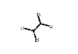 CCC(Cl)C(Cl)CC